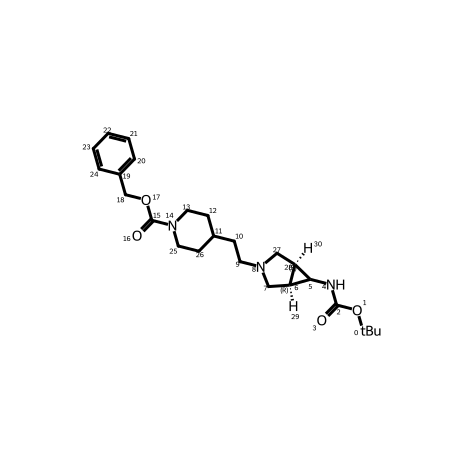 CC(C)(C)OC(=O)NC1[C@H]2CN(CCC3CCN(C(=O)OCc4ccccc4)CC3)C[C@@H]12